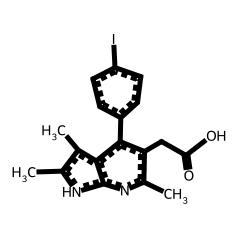 Cc1nc2[nH]c(C)c(C)c2c(-c2ccc(I)cc2)c1CC(=O)O